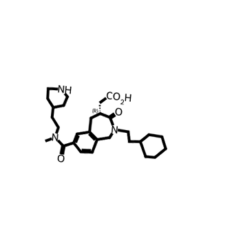 CN(CCC1CCNCC1)C(=O)c1ccc2c(c1)C[C@H](CC(=O)O)C(=O)N(CCC1CCCCC1)C2